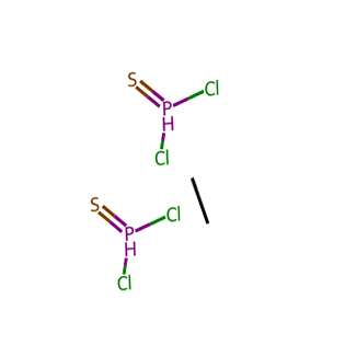 CC.S=[PH](Cl)Cl.S=[PH](Cl)Cl